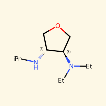 CCN(CC)[C@@H]1COC[C@H]1NC(C)C